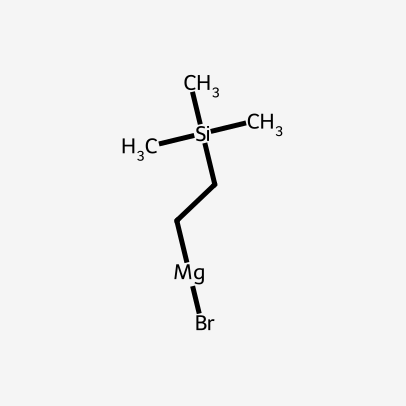 C[Si](C)(C)C[CH2][Mg][Br]